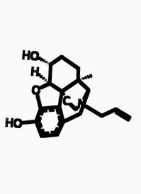 C=CCN1CC[C@]23c4c5ccc(O)c4O[C@H]2[C@H](O)CC[C@@]3(C)C1C5